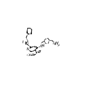 CO[N+](=O)c1cnc(NCCc2ccccc2)cc1NCC1CCC(CN)CC1